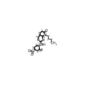 CCCCn1c(=O)ccc2cnc(Nc3ccc([N+](=O)[O-])cc3F)nc21